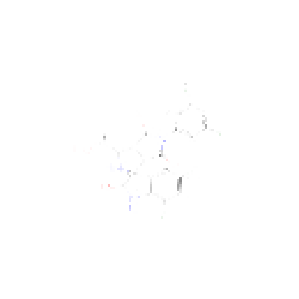 CC(O)C1NC2(C(=O)Nc3c(Cl)cc(Cl)cc32)C2C(=O)N(c3cc(Cl)cc(Cl)c3)C(=O)C12